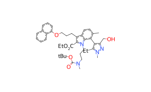 CCOC(=O)c1c(CCCOc2cccc3ccccc23)c2ccc(C)c(-c3c(CO)nn(C)c3CC)c2n1CCCN(C)C(=O)OC(C)(C)C